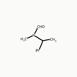 CC(C)C(C)N(C)C=O